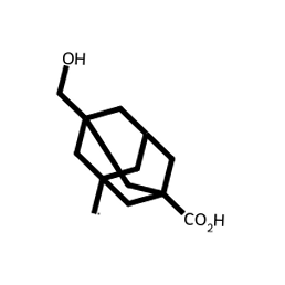 [CH2]C12CC3CC(CO)(C1)CC(C(=O)O)(C3)C2